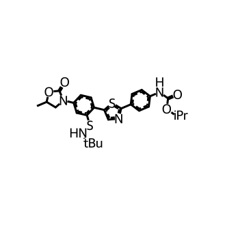 CC(C)OC(=O)Nc1ccc(-c2ncc(-c3ccc(N4CC(C)OC4=O)cc3SNC(C)(C)C)s2)cc1